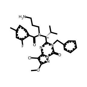 COc1nn2c(=O)n(Cc3ccccc3)c([C@@H](C(C)C)N(CCCN)C(=O)c3ccc(C)cc3F)nc2c1Cl